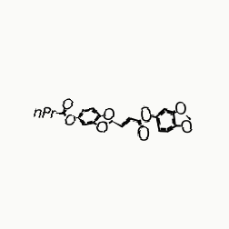 CCCC(=O)Oc1ccc2c(c1)O[C@H](/C=C/C(=O)Oc1ccc3c(c1)OCO3)O2